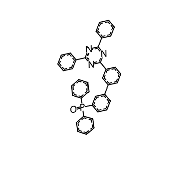 O=P(c1ccccc1)(c1ccccc1)c1cccc(-c2cccc(-c3nc(-c4ccccc4)nc(-c4ccccc4)n3)c2)c1